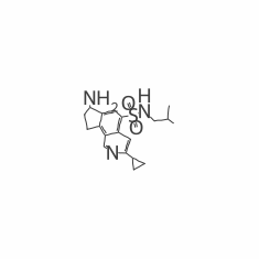 CC(C)CNS(=O)(=O)c1cc2c(c3cnc(C4CC4)cc13)CCC2N